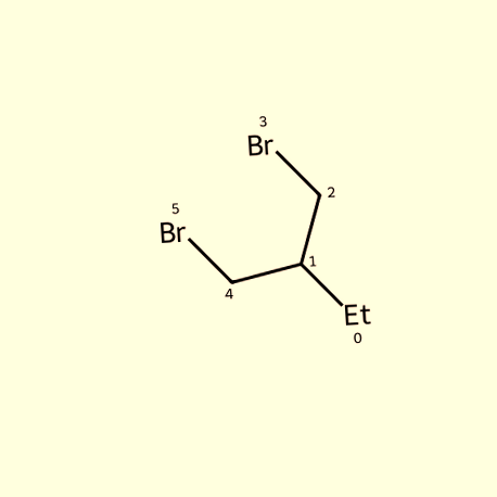 [CH2]CC(CBr)CBr